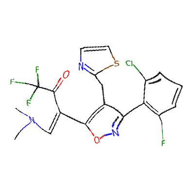 CN(C)/C=C(\C(=O)C(F)(F)F)c1onc(-c2c(F)cccc2Cl)c1-c1nccs1